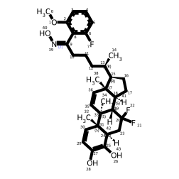 COc1cccc(F)c1/C(CCC[C@@H](C)[C@H]1CC[C@H]2[C@@H]3C(F)(F)C[C@H]4C(O)=C(O)C=C[C@]4(C)[C@@]3(C)C=C[C@]12C)=N\O